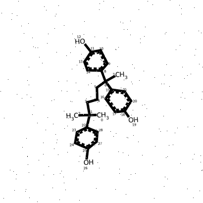 CC(C)(CCCC(C)(c1ccc(O)cc1)c1ccc(O)cc1)c1ccc(O)cc1